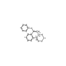 C=C(Cc1ccccc1)c1ccccc1[SiH]1CCCCO1